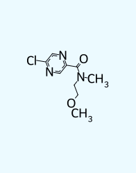 COCCN(C)C(=O)c1cnc(Cl)cn1